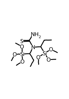 CCC(N(C(N)=S)C(CC)[Si](OC)(OC)OC)[Si](OC)(OC)OC